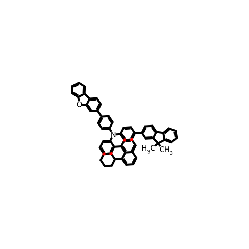 CC1(C)c2ccccc2-c2ccc(-c3ccc(N(c4ccc(-c5ccc6c(c5)oc5ccccc56)cc4)c4ccccc4-c4cccc5cccc(C6CCCCC6)c45)cc3)cc21